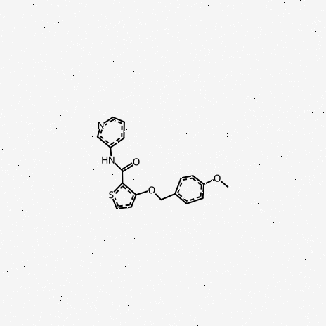 COc1ccc(COc2ccsc2C(=O)Nc2cccnc2)cc1